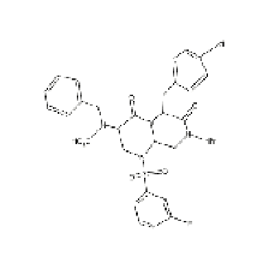 CC(C)N1CC2N(C(=O)C(N(Cc3ccccc3)C(=O)O)CN2S(=O)(=O)c2cccc(F)c2)C(Cc2ccc(Cl)cc2)C1=O